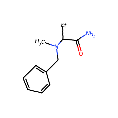 CCC(C(N)=O)N(C)Cc1ccccc1